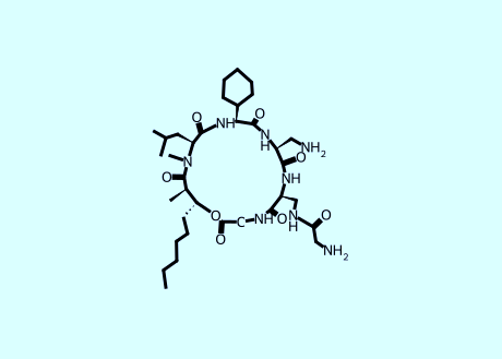 CCCCCC[C@H]1OC(=O)CNC(=O)[C@H](CNC(=O)CN)NC(=O)[C@H](CN)NC(=O)[C@H](C2CCCCC2)NC(=O)[C@H](CC(C)C)N(C)C(=O)[C@@H]1C